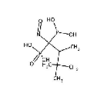 CC(C(C)(C)C)C(N=O)(P(O)O)P(=O)(O)O